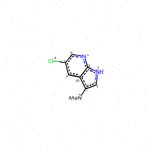 CNc1c[nH]c2ncc(Cl)cc12